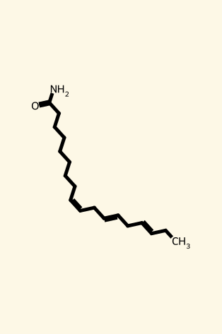 CCC=CCC=CC/C=C\CCCCCCCC(N)=O